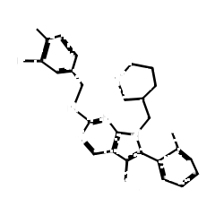 Cc1c(-c2ccccc2Cl)n(CC2CCCNC2)c2nc(NCc3ccc(F)c(F)c3)ncc12